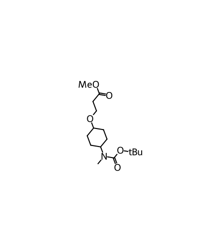 COC(=O)CCOC1CCC(N(C)C(=O)OC(C)(C)C)CC1